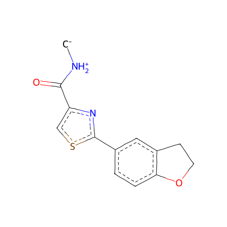 [CH2-][NH2+]C(=O)c1csc(-c2ccc3c(c2)CCO3)n1